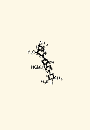 Cc1nc2c(C)cc(-c3ccc(-c4cnc(N5C[C@@H](C)N[C@@H](C)C5)nn4)c(O)c3)nn2n1.Cl.Cl